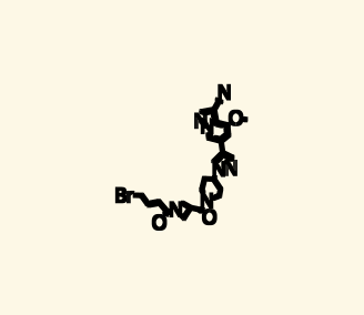 COc1cc(-c2cnn(C3CCN(C(=O)C4CN(C(=O)C=CCBr)C4)CC3)c2)cn2ncc(C#N)c12